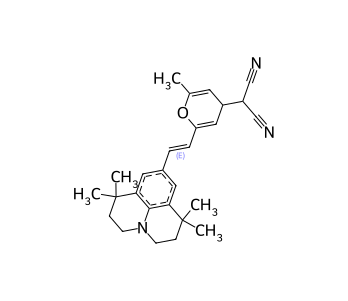 CC1=CC(C(C#N)C#N)C=C(/C=C/c2cc3c4c(c2)C(C)(C)CCN4CCC3(C)C)O1